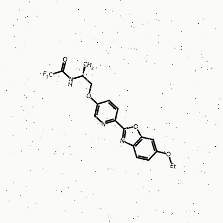 CCOc1ccc2nc(-c3ccc(OC[C@H](C)NC(=O)C(F)(F)F)cn3)oc2c1